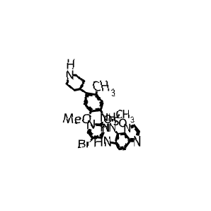 COc1cc(C2CCNCC2)c(C)cc1Nc1ncc(Br)c(Nc2ccc3nccnc3c2NS(C)(=O)=O)n1